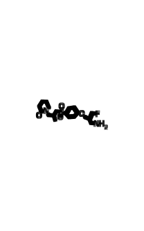 CC(CN1CCCCC1=O)CS(=O)(=O)c1ccc(OCC(=CF)CN)cc1